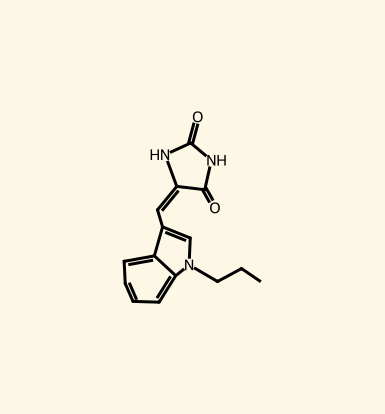 CCCn1cc(/C=C2/NC(=O)NC2=O)c2ccccc21